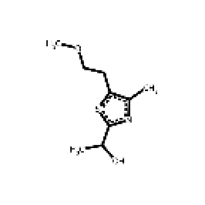 COCCc1sc(C(C)O)nc1C